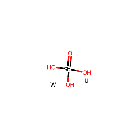 [O]=[Sb]([OH])([OH])[OH].[U].[W]